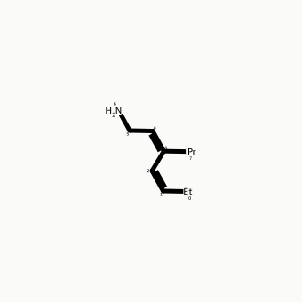 CC/C=C\C(=C/CN)C(C)C